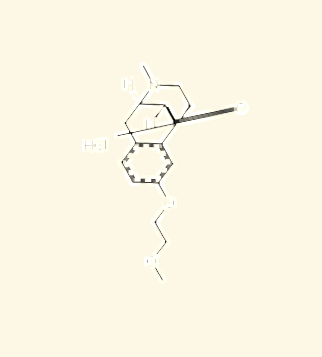 COCCOc1ccc2c(c1)[C@]13CCN(C)[C@H](C2)[C@@H]1CCC(=O)C3.Cl